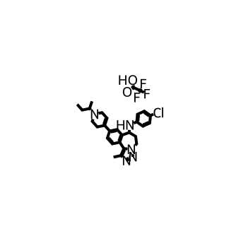 CCC(C)N1CC=C(c2ccc3c(c2)C(Nc2ccc(Cl)cc2)CCn2nnc(C)c2-3)CC1.O=C(O)C(F)(F)F